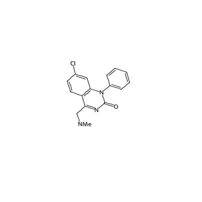 CNCc1nc(=O)n(-c2ccccc2)c2cc(Cl)ccc12